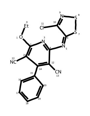 CCOc1nc(N=c2ssnc2Cl)c(C#N)c(-c2ccccc2)c1C#N